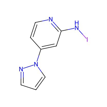 INc1cc(-n2cccn2)ccn1